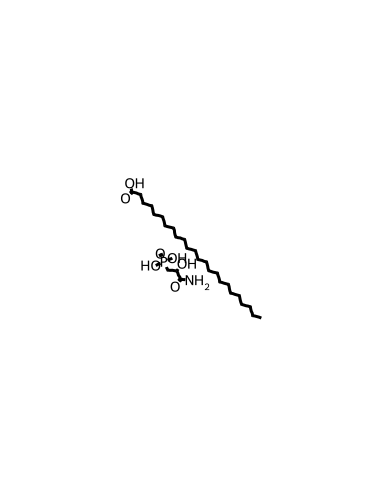 CCCCCCCCCCCCCCCCCCCCCCCC(=O)O.NC(=O)C(O)CP(=O)(O)O